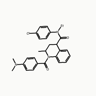 CCN(C(=O)C1CC(C)N(C(=O)c2ccc(N(C)C)cc2)c2ccccc21)c1ccc(Cl)cc1